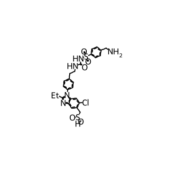 CCc1nc2cc(C[SH](=O)=O)c(Cl)cc2n1-c1ccc(CCNC(=O)NS(=O)(=O)c2ccc(CN)cc2)cc1